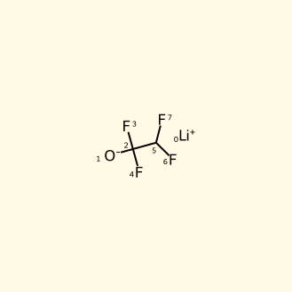 [Li+].[O-]C(F)(F)C(F)F